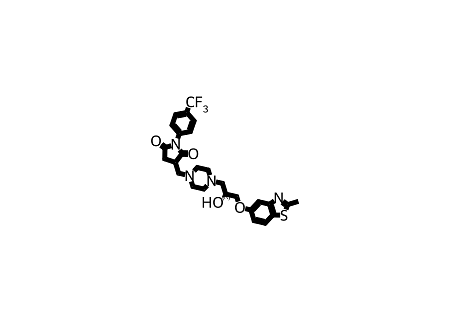 Cc1nc2cc(OC[C@H](O)CN3CCN(CC4CC(=O)N(c5ccc(C(F)(F)F)cc5)C4=O)CC3)ccc2s1